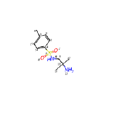 Cc1ccc(S(=O)(=O)NCC(C)(C)N)cc1